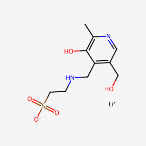 Cc1ncc(CO)c(CNCCS(=O)(=O)[O-])c1O.[Li+]